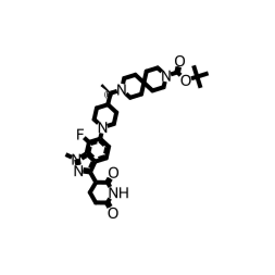 C[C@H](C1CCN(c2ccc3c(C4CCC(=O)NC4=O)nn(C)c3c2F)CC1)N1CCC2(CCN(C(=O)OC(C)(C)C)CC2)CC1